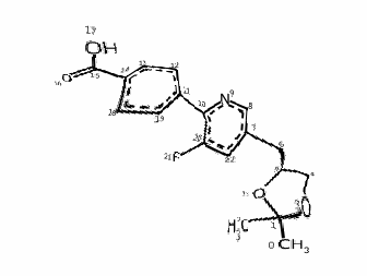 CC1(C)OC[C@H](Cc2cnc(-c3ccc(C(=O)O)cc3)c(F)c2)O1